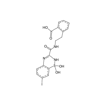 O=C(NCCc1ccccc1C(=O)O)C1=Nc2ccc(I)cc2S(O)(O)N1